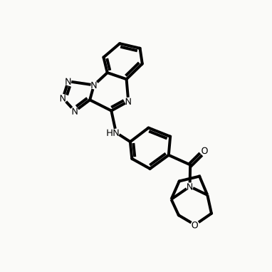 O=C(c1ccc(Nc2nc3ccccc3n3nnnc23)cc1)N1C2CCC1COC2